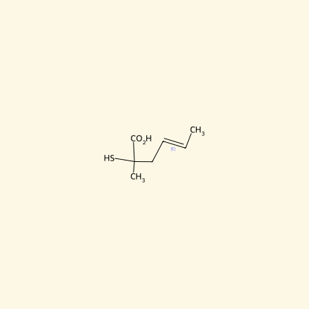 C/C=C/CC(C)(S)C(=O)O